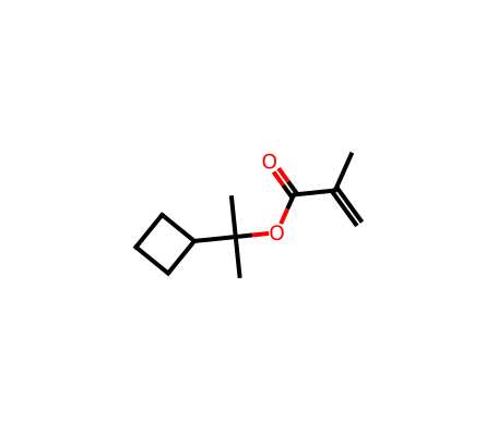 C=C(C)C(=O)OC(C)(C)C1CCC1